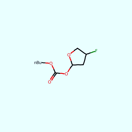 CCCCOC(=O)OC1CC(F)CO1